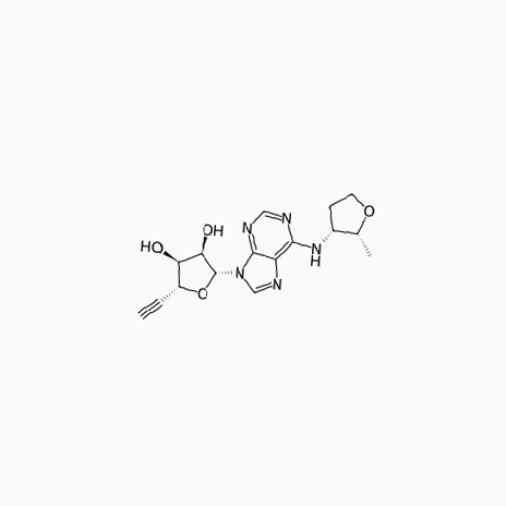 C#C[C@H]1O[C@@H](n2cnc3c(N[C@@H]4CCO[C@@H]4C)ncnc32)[C@H](O)[C@@H]1O